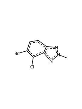 Cn1nc2ccc(Br)c(Cl)c2n1